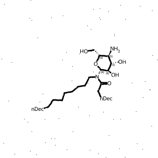 CCCCCCCCCCCCCCCCCCN(C(=O)CCCCCCCCCCC)[C@@H]1O[C@H](CO)[C@@H](N)[C@H](O)[C@H]1O